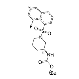 CC(C)(C)OC(=O)N[C@H]1CCCN(S(=O)(=O)c2cccc3cncc(F)c23)C1